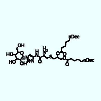 CCCCCCCCCCCCCCC(=O)OCC(CSCC(N)C(=O)Nc1cn([C@H]2OC(CO)C(O)C(O)C2O)nn1)OC(=O)CCCCCCCCCCCCCC